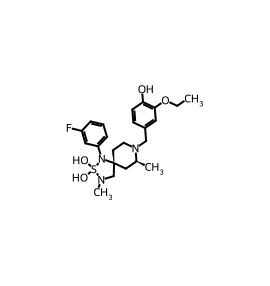 CCOc1cc(CN2CC[C@@]3(C[C@@H]2C)CN(C)S(O)(O)N3c2cccc(F)c2)ccc1O